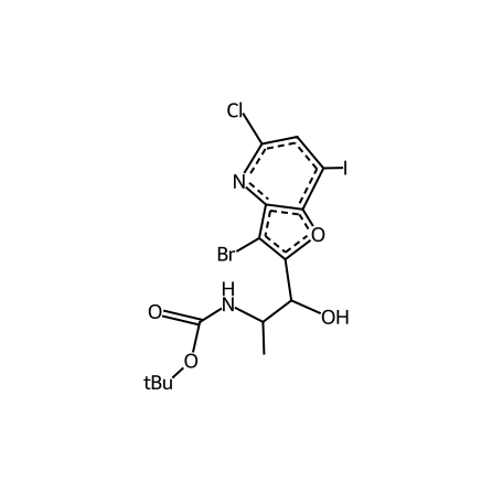 CC(NC(=O)OC(C)(C)C)C(O)c1oc2c(I)cc(Cl)nc2c1Br